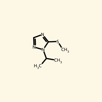 CSc1ncnn1C(C)C